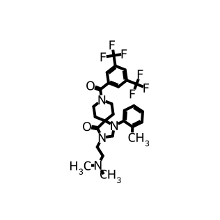 Cc1ccccc1N1CN(CCN(C)C)C(=O)C12CCN(C(=O)c1cc(C(F)(F)F)cc(C(F)(F)F)c1)CC2